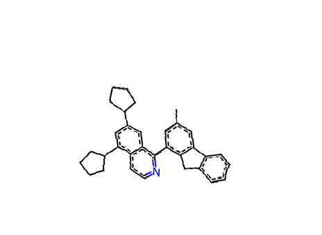 Cc1cc2c(c(-c3nccc4c(C5CCCC5)cc(C5CCCC5)cc34)c1)Cc1ccccc1-2